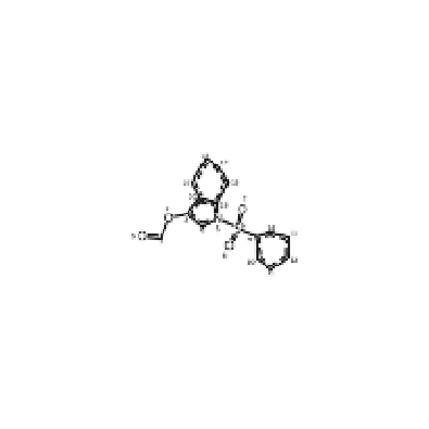 O=COc1cn(S(=O)(=O)c2ccccc2)c2ccccc12